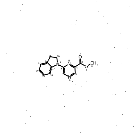 COC(=O)c1cncc(N2CCc3ccccc32)n1